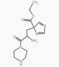 CCOC(=O)C1(CC(N)C(=O)N2CCNCC2)C=NC=N1